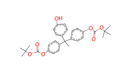 CC(C)(C)OC(=O)Oc1ccc(C(C)(c2ccc(O)cc2)c2ccc(OC(=O)OC(C)(C)C)cc2)cc1